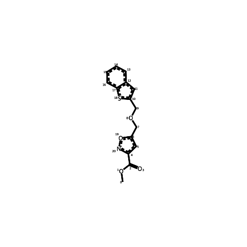 COC(=O)c1cc(COCc2cc3ccccc3s2)on1